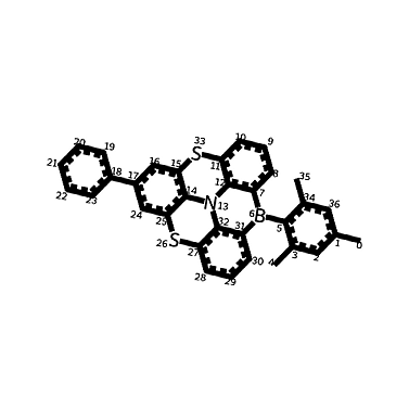 Cc1cc(C)c(B2c3cccc4c3N3c5c(cc(-c6ccccc6)cc5Sc5cccc2c53)S4)c(C)c1